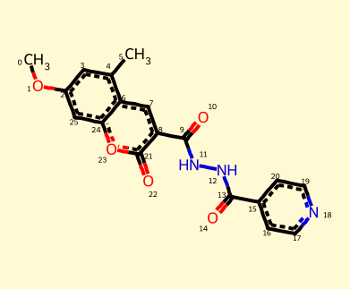 COc1cc(C)c2cc(C(=O)NNC(=O)c3ccncc3)c(=O)oc2c1